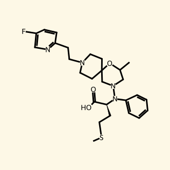 CSCC[C@@H](C(=O)O)N(c1ccccc1)N1CC(C)OC2(CCN(CCc3ccc(F)cn3)CC2)C1